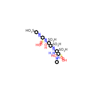 Nc1c(N=Nc2ccc3c(O)c(N=Nc4ccc(N=Nc5ccc(S(=O)(=O)O)cc5)cc4SOOO)c(S(=O)(=O)O)cc3c2S(=O)(=O)O)cc(S(=O)(=O)O)c2cc(SOOO)c(N=Nc3ccccc3)c(O)c12